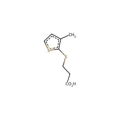 Cc1ccsc1SCCC(=O)O